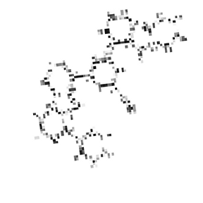 N#Cc1cc(-c2cccc3c2oc2c(-c4ccccc4)cccc23)cc(-c2cccc3c2sc2ccccc23)c1